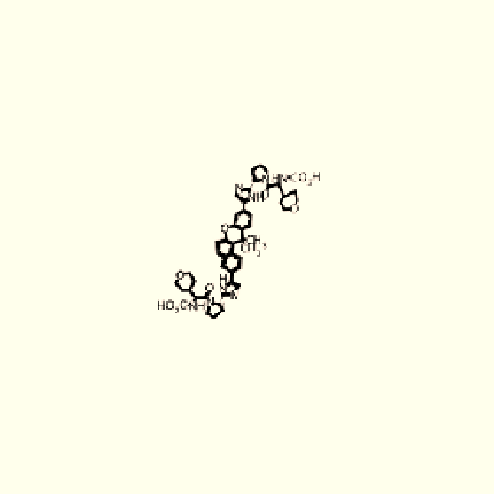 CC1(C)c2ccc(-c3cnc([C@@H]4CCCN4C(=O)C(NC(=O)O)C4CCOCC4)[nH]3)cc2Oc2ccc3cc(-c4cnc([C@@H]5CCCN5C(=O)C(NC(=O)O)C5CCOCC5)[nH]4)ccc3c21